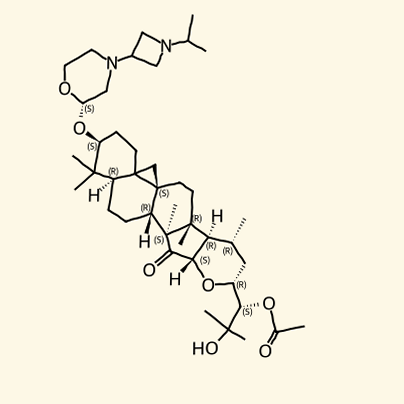 CC(=O)O[C@@H]([C@H]1C[C@@H](C)[C@H]2[C@H](O1)C(=O)[C@@]1(C)[C@@H]3CC[C@H]4C(C)(C)[C@@H](O[C@H]5CN(C6CN(C(C)C)C6)CCO5)CCC45C[C@@]35CC[C@]21C)C(C)(C)O